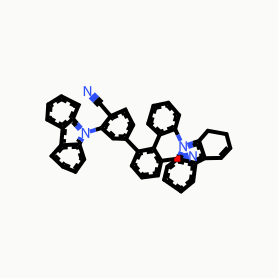 N#Cc1ccc(-c2cccc(C#N)c2-c2ccccc2-n2c3c(c4ccccc42)C=CCC3)cc1-n1c2ccccc2c2ccccc21